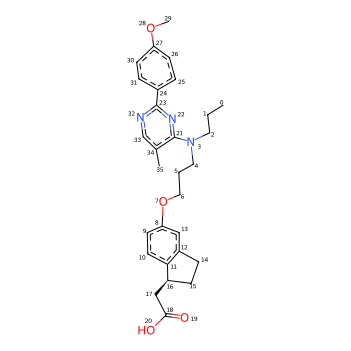 CCCN(CCCOc1ccc2c(c1)CC[C@H]2CC(=O)O)c1nc(-c2ccc(OC)cc2)ncc1C